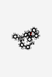 CCc1nc2ccccc2n1-c1cccc2oc3cccc(-c4ccc5cc(-c6nc(-c7ccccc7)nc(-c7cccc(-c8cccc(C#N)c8)c7)n6)ccc5c4)c3c12